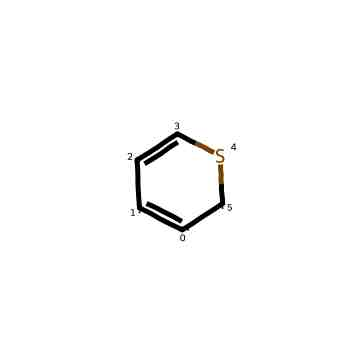 [C]1=[C]C=CS[CH]1